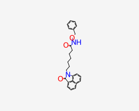 O=C(CCCCCCN1C(=O)c2cccc3cccc1c23)NOCc1ccccc1